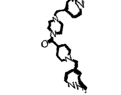 C=C/C=C(\C=C/N)CN1CCC(C(=O)N2CCN(Cc3ccncc3)CC2)CC1